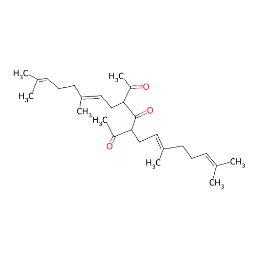 CC(=O)C(C/C=C(\C)CCC=C(C)C)C(=O)C(C/C=C(\C)CCC=C(C)C)C(C)=O